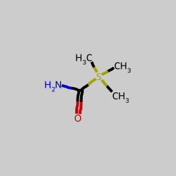 CS(C)(C)C(N)=O